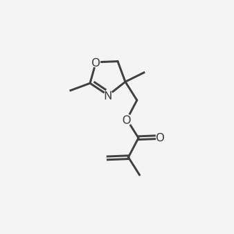 C=C(C)C(=O)OCC1(C)COC(C)=N1